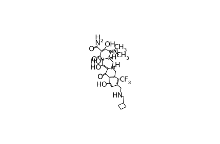 CN(C)[C@@H]1C(O)=C(C(N)=O)C(=O)[C@@]2(O)C(O)=C3C(=O)c4c(O)cc(CNCC5CCC5)c(C(F)(F)F)c4C[C@H]3C[C@@H]12